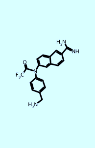 N=C(N)c1ccc2cc(N(C(=O)C(F)(F)F)c3ccc(CN)cc3)ccc2c1